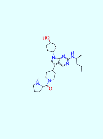 CCC[C@H](C)Nc1ncc2c(C3CCN(C(=O)C4CCCN4C)CC3)cn([C@H]3CC[C@H](O)CC3)c2n1